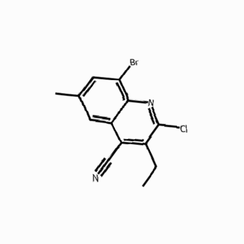 CCc1c(Cl)nc2c(Br)cc(C)cc2c1C#N